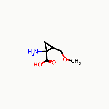 COCC1CC1(N)C(=O)O